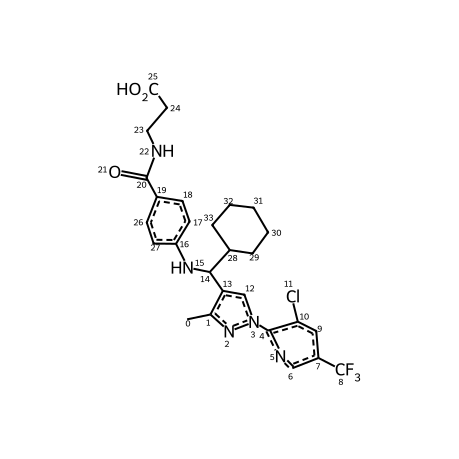 Cc1nn(-c2ncc(C(F)(F)F)cc2Cl)cc1C(Nc1ccc(C(=O)NCCC(=O)O)cc1)C1CCCCC1